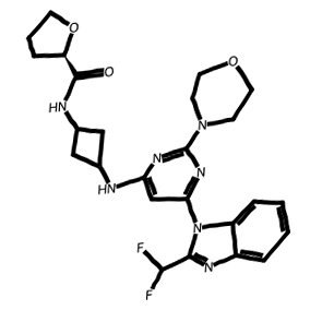 O=C(NC1CC(Nc2cc(-n3c(C(F)F)nc4ccccc43)nc(N3CCOCC3)n2)C1)[C@H]1CCCO1